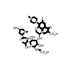 CC(=O)O.CCC[C@@H]1C[C@@H](C(=O)NC(C(C)O)[C@H]2O[C@H](SC)[C@H](O)[C@@H](O)[C@H]2O)N(C)C1.C[C@H]1COc2c(N3CCN(C)CC3)c(F)cc3c(=O)c(C(=O)O)cn1c23